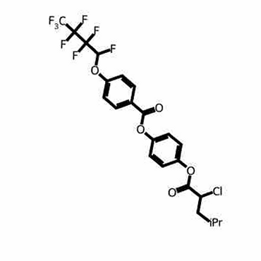 CC(C)CC(Cl)C(=O)Oc1ccc(OC(=O)c2ccc(OC(F)C(F)(F)C(F)(F)C(F)(F)F)cc2)cc1